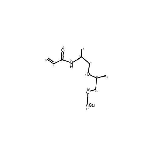 C=CC(=O)NC(C)COC(C)COCCCC